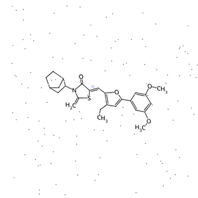 C=c1s/c(=C\c2oc(-c3cc(OC)cc(OC)c3)cc2CC)c(=O)n1C1CC2CCC1C2